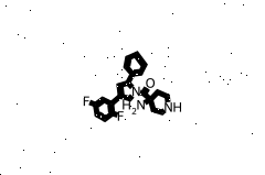 NC1(C(=O)N2CC(c3cc(F)ccc3F)=CC2c2ccccc2)CCNCC1